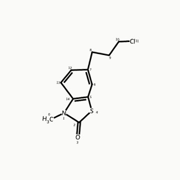 Cn1c(=O)sc2cc(CCCCl)ccc21